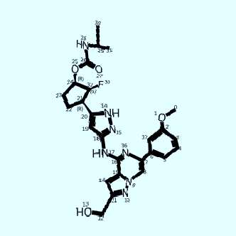 COc1cccc(-c2cn3nc(CO)cc3c(Nc3cc([C@H]4CC[C@@H](OC(=O)NC(C)C)[C@H]4F)[nH]n3)n2)c1